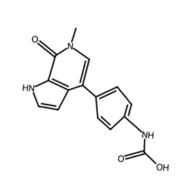 Cn1cc(-c2ccc(NC(=O)O)cc2)c2cc[nH]c2c1=O